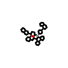 c1ccc2cc(-c3ccc(N(c4ccc(-c5cccc6ccccc56)cc4)c4c(-c5ccc6ccccc6c5)c5ccccc5c5ccccc45)cc3)ccc2c1